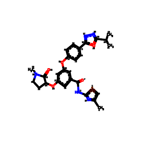 Cc1csc(NC(=O)c2cc(Oc3ccc(-c4nnc(C(C)C)o4)cc3)cc(OC3CCN(C)C3=O)c2)n1